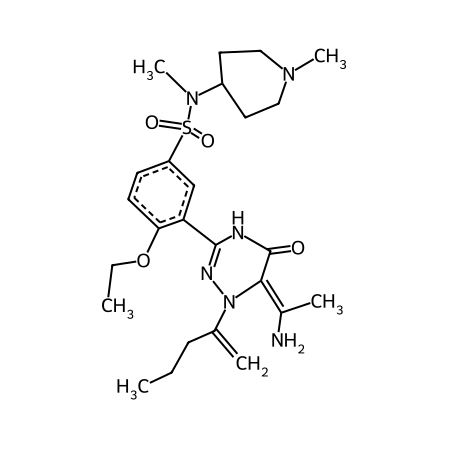 C=C(CCC)N1N=C(c2cc(S(=O)(=O)N(C)C3CCN(C)CC3)ccc2OCC)NC(=O)/C1=C(\C)N